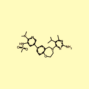 Cc1nc(N)nc(N2CCOc3ccc(-c4cnc(N(C)C)c(NS(C)(=O)=O)c4)cc3C2)c1C(C)C